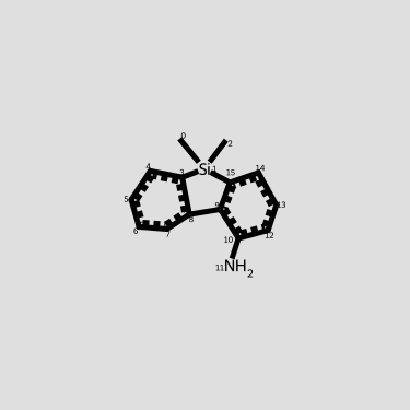 C[Si]1(C)c2ccccc2-c2c(N)cccc21